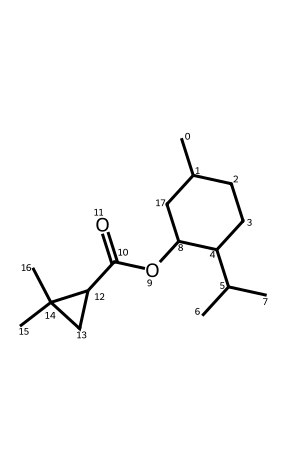 CC1CCC(C(C)C)C(OC(=O)C2CC2(C)C)C1